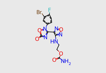 NC(=O)OCCNc1nonc1-c1nc(=O)on1-c1ccc(F)c(Br)c1